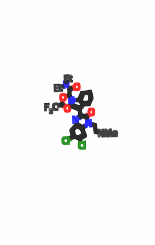 CCN(CC)C(=O)C(OC(=O)C(F)(F)F)n1cc(-c2nc3cc(Cl)c(Cl)cc3n(CCNC)c2=O)c2ccccc21